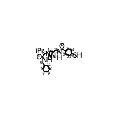 CC(C)[C@@H](C(=O)NCc1ccccc1)n1cc(CNC(=O)c2ccc(S)cc2)nn1